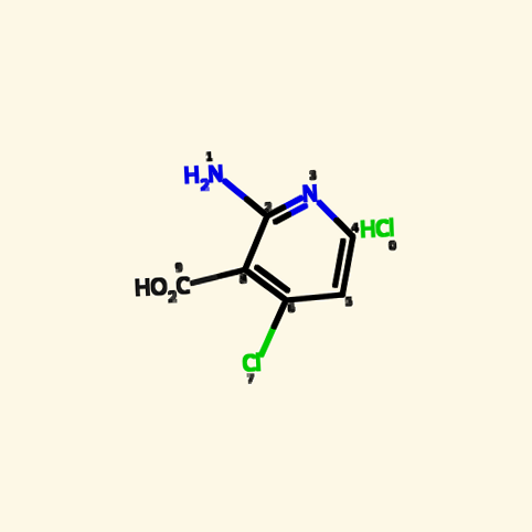 Cl.Nc1nccc(Cl)c1C(=O)O